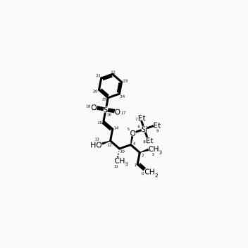 C=C[C@H](C)[C@H](O[Si](CC)(CC)CC)[C@H](C)[C@@H](O)/C=C/S(=O)(=O)c1ccccc1